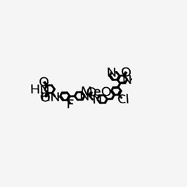 COc1cc(-c2cn(C)c(=O)c3cnccc23)cc(Cl)c1CC1CCN(CC(=O)N2CCC(c3ccc(NC4CCC(=O)NC4=O)cc3F)CC2)CC1